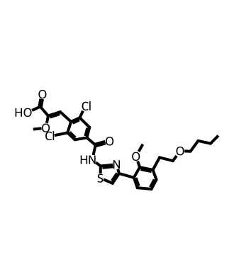 CCCCOCCc1cccc(-c2csc(NC(=O)c3cc(Cl)c(/C=C(\OC)C(=O)O)c(Cl)c3)n2)c1OC